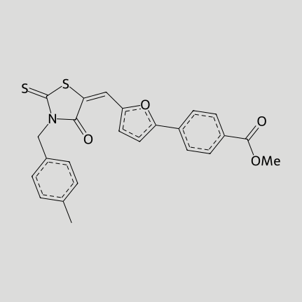 COC(=O)c1ccc(-c2ccc(/C=C3/SC(=S)N(Cc4ccc(C)cc4)C3=O)o2)cc1